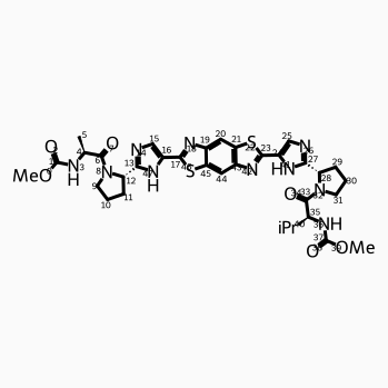 COC(=O)N[C@@H](C)C(=O)N1CCC[C@H]1c1ncc(-c2nc3cc4sc(-c5cnc([C@@H]6CCCN6C(=O)[C@@H](NC(=O)OC)C(C)C)[nH]5)nc4cc3s2)[nH]1